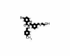 Cc1ccc(/C=N/n2c(-c3cccc(CSCCO)c3)nc3ccc(Br)cc3c2=O)cc1